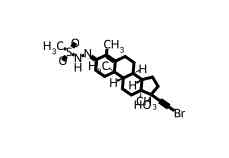 CC1=C2CC[C@@H]3[C@H](CC[C@@]4(C)[C@H]3CC[C@@]4(O)C#CBr)[C@@]2(C)CC/C1=N\NS(C)(=O)=O